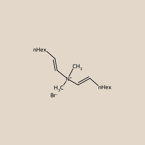 CCCCCCC=C[N+](C)(C)C=CCCCCCC.[Br-]